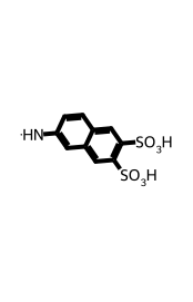 [NH]c1ccc2cc(S(=O)(=O)O)c(S(=O)(=O)O)cc2c1